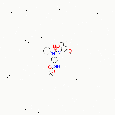 COc1cc(NC(=O)N(c2ccc(NC(=O)OC(C)(C)C)cc2)C2CCCCCC2)c(O)c(C(C)(C)C)c1